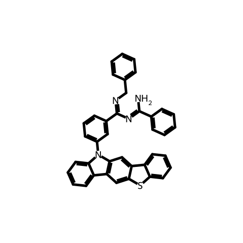 N/C(=N\C(=N/Cc1ccccc1)c1cccc(-n2c3ccccc3c3cc4sc5ccccc5c4cc32)c1)c1ccccc1